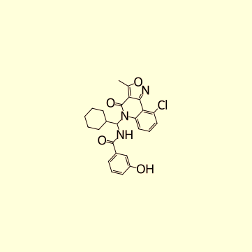 Cc1onc2c1c(=O)n(C(NC(=O)c1cccc(O)c1)C1CCCCC1)c1cccc(Cl)c21